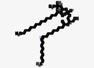 CCCCCCCC/C=C\CCCCCCCC(=O)O[C@H](CO)COP(=O)([O-])OC(C[N+](C)(C)C)C(=O)CCCCCCCCCCCCCCC